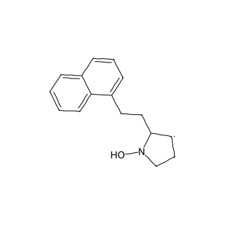 ON1CC[CH]C1CCc1cccc2ccccc12